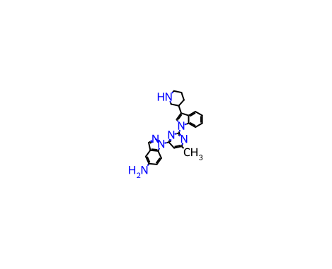 Cc1cc(-n2ncc3cc(N)ccc32)nc(-n2cc(C3CCCNC3)c3ccccc32)n1